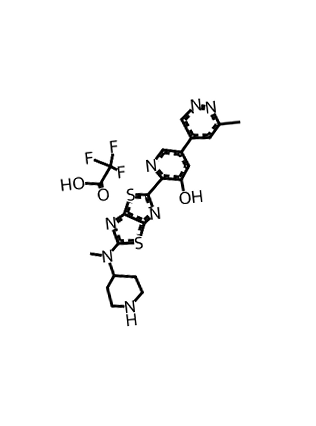 Cc1cc(-c2cnc(-c3nc4sc(N(C)C5CCNCC5)nc4s3)c(O)c2)cnn1.O=C(O)C(F)(F)F